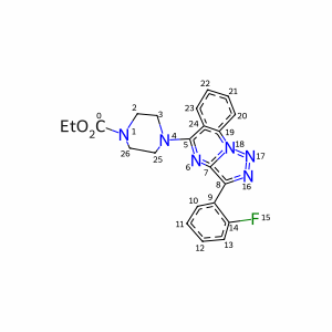 CCOC(=O)N1CCN(c2nc3c(-c4ccccc4F)nnn3c3ccccc23)CC1